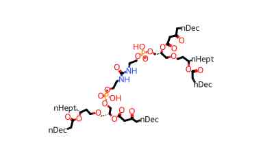 CCCCCCCCCCCC(=O)CC(=O)O[C@H](COCC[C@@H](CCCCCCC)OC(=O)CCCCCCCCCCC)COP(=O)(O)OCCNC(=O)NCCOP(=O)(O)OC[C@@H](COCC[C@@H](CCCCCCC)OC(=O)CCCCCCCCCCC)OC(=O)CC(=O)CCCCCCCCCCC